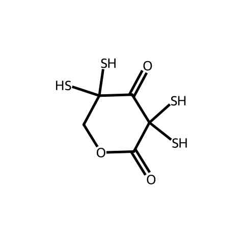 O=C1OCC(S)(S)C(=O)C1(S)S